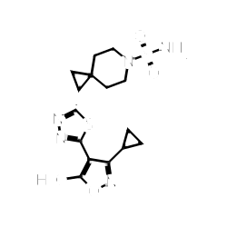 Cc1onc(C2CC2)c1-c1nnc([C@@H]2CC23CCN(S(N)(=O)=O)CC3)s1